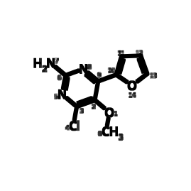 COc1c(Cl)nc(N)nc1-c1ccco1